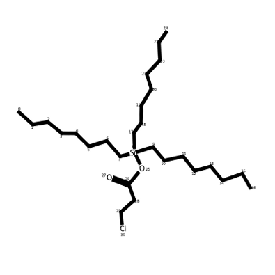 CCCCCCCC[Si](CCCCCCCC)(CCCCCCCC)OC(=O)CCCl